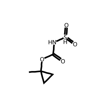 CC1(OC(=O)N[SH](=O)=O)CC1